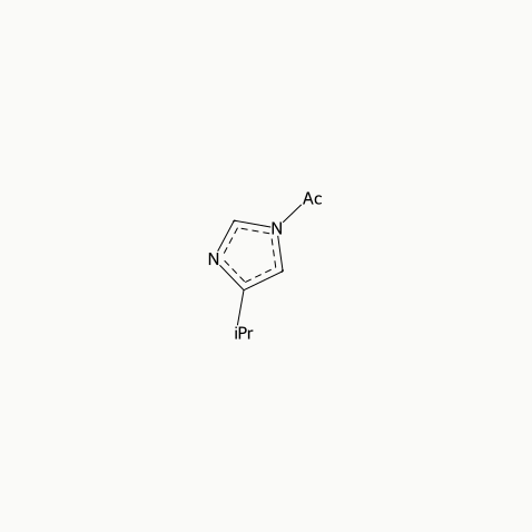 CC(=O)n1cnc(C(C)C)c1